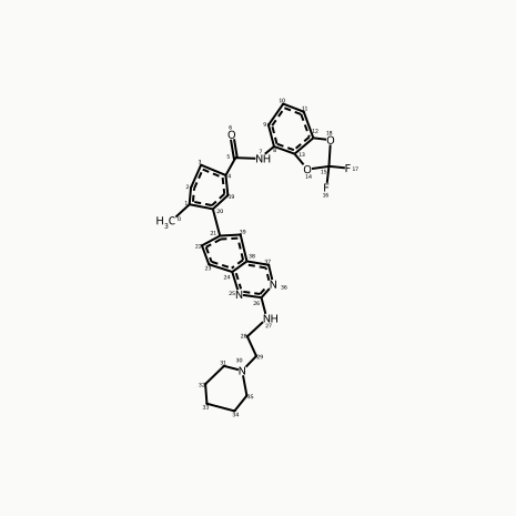 Cc1ccc(C(=O)Nc2cccc3c2OC(F)(F)O3)cc1-c1ccc2nc(NCCN3CCCCC3)ncc2c1